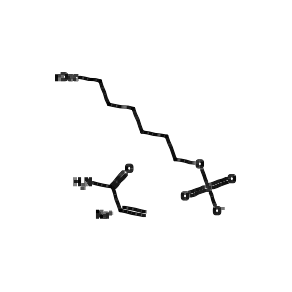 C=CC(N)=O.CCCCCCCCCCCCCCCCOS(=O)(=O)[O-].[Na+]